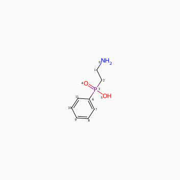 NCCP(=O)(O)c1ccccc1